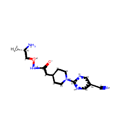 C[C@H](N)CONC(=O)CC1CCN(c2ncc(C#N)cn2)CC1